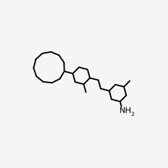 CC1CC(N)CC(CCC2CCC(C3CCCCCCCCCC3)CC2C)C1